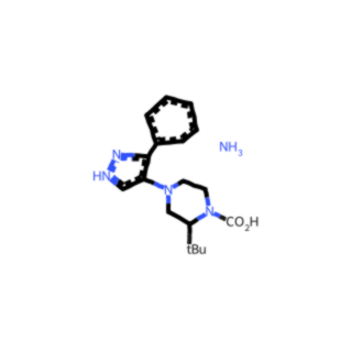 CC(C)(C)C1CN(c2c[nH]nc2-c2ccccc2)CCN1C(=O)O.N